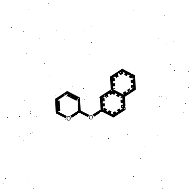 [c]1c(OC2C=CC=CO2)ccc2ccccc12